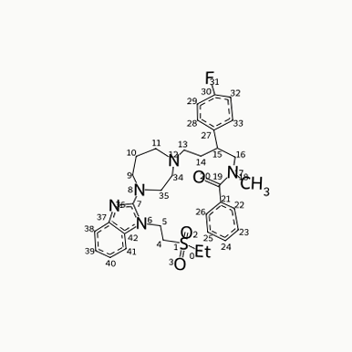 CCS(=O)(=O)CCn1c(N2CCCN(CCC(CN(C)C(=O)c3ccccc3)c3ccc(F)cc3)CC2)nc2ccccc21